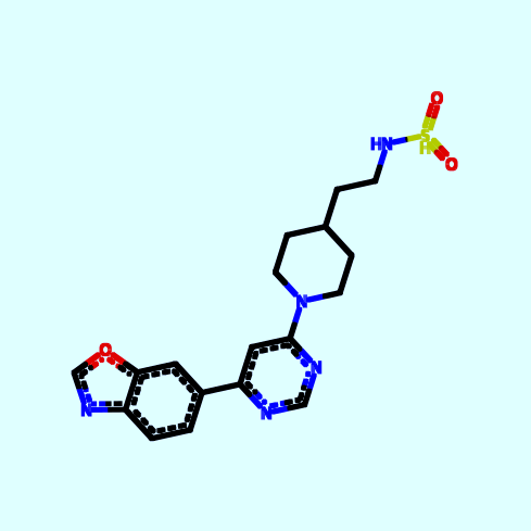 O=[SH](=O)NCCC1CCN(c2cc(-c3ccc4ncoc4c3)ncn2)CC1